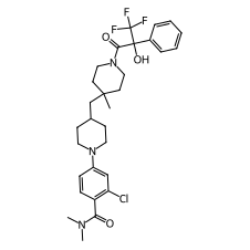 CN(C)C(=O)c1ccc(N2CCC(CC3(C)CCN(C(=O)C(O)(c4ccccc4)C(F)(F)F)CC3)CC2)cc1Cl